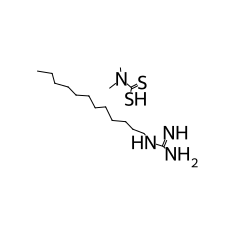 CCCCCCCCCCCCNC(=N)N.CN(C)C(=S)S